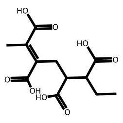 CCC(C(=O)O)C(CC(C(=O)O)=C(C)C(=O)O)C(=O)O